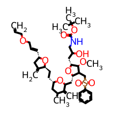 C=CCOC/C=C/[C@H]1CC(=C)[C@H](CC[C@H]2CC(C)C(=C)C(C[C@@H]3O[C@H](CC(O)CNC(=O)OC(C)(C)C)[C@H](OC)C3CS(=O)(=O)c3ccccc3)O2)O1